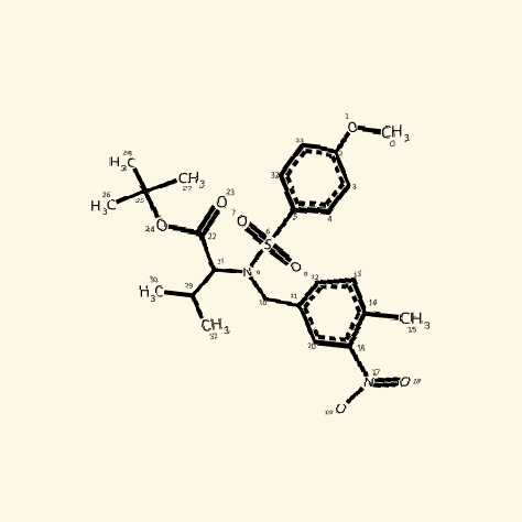 COc1ccc(S(=O)(=O)N(Cc2ccc(C)c([N+](=O)[O-])c2)C(C(=O)OC(C)(C)C)C(C)C)cc1